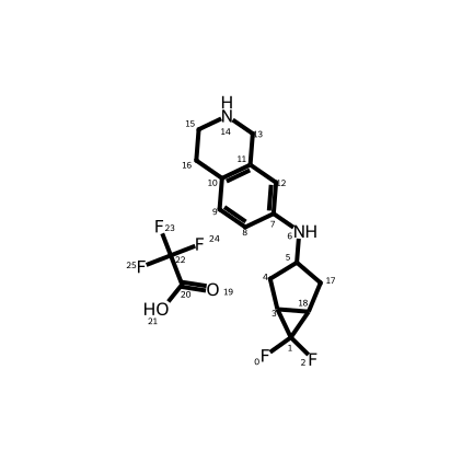 FC1(F)C2CC(Nc3ccc4c(c3)CNCC4)CC21.O=C(O)C(F)(F)F